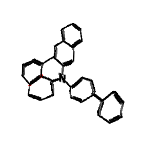 C1=C=C(c2cc3ccccc3cc2N(C2=CC=CCC2)c2ccc(-c3ccccc3)cc2)C=CC=1